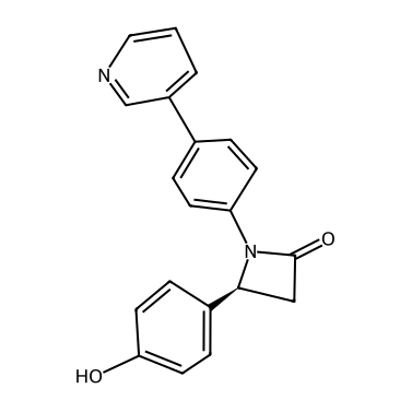 O=C1C[C@@H](c2ccc(O)cc2)N1c1ccc(-c2cccnc2)cc1